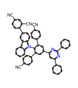 N#Cc1ccc(-c2cc(-c3cc(-c4ccccc4)nc(-c4ccccc4)n3)cc(-c3ccc(C#N)cc3)c2-n2c3ccccc3c3cc(-c4ccc(C#N)cc4C#N)ccc32)cc1